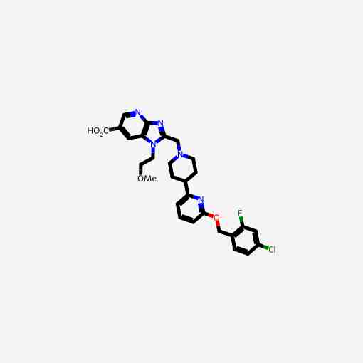 COCCn1c(CN2CCC(c3cccc(OCc4ccc(Cl)cc4F)n3)CC2)nc2ncc(C(=O)O)cc21